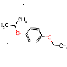 [CH2]C(C)Oc1ccc(OCC)cc1